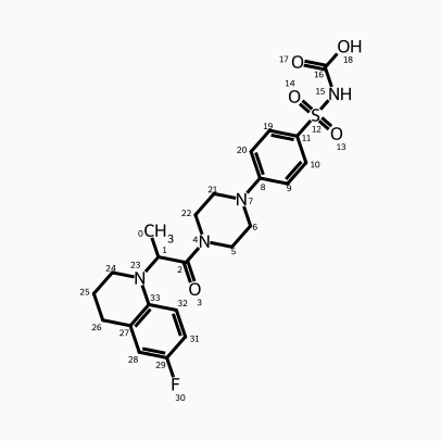 CC(C(=O)N1CCN(c2ccc(S(=O)(=O)NC(=O)O)cc2)CC1)N1CCCc2cc(F)ccc21